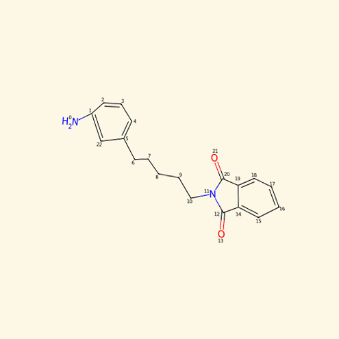 Nc1cccc(CCCCCN2C(=O)c3ccccc3C2=O)c1